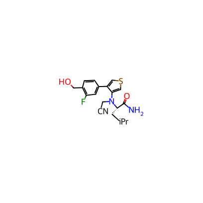 CC(C)C[C@@H](C(N)=O)N(CC#N)c1cscc1-c1ccc(CO)c(F)c1